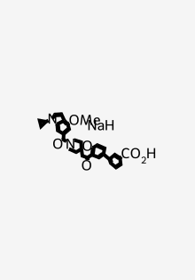 COc1cc(C(=O)N2CCC3(CC2)CC(=O)c2cc(-c4cccc(C(=O)O)c4)ccc2O3)cc2c1ccn2C1CC1.[NaH]